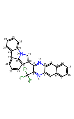 FC(F)(F)c1nc2cc3ccccc3cc2nc1-c1cn2c3ccccc3c3cccc1c32